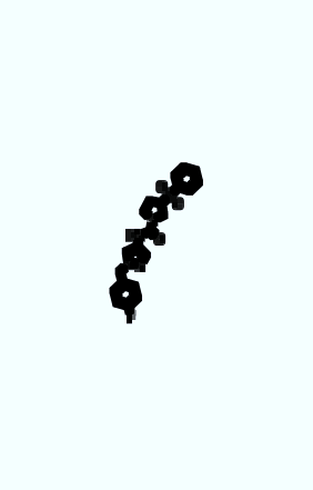 O=C(Nc1cnn(Cc2ccc(F)cc2)c1)N1CCC(S(=O)(=O)c2ccccc2)C1